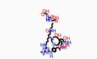 CNC/C(O)=C\C1(/C=C(/O)CNC(C)Cc2ccc(Nc3nc(NCCCCCCCC(=O)NCCCC[C@H](NC(=O)NCC(=O)O)C(=O)O)nc(N(C)C)n3)cc2)/C=C(/O)CN(C)CCN(C)C/C(O)=C\1